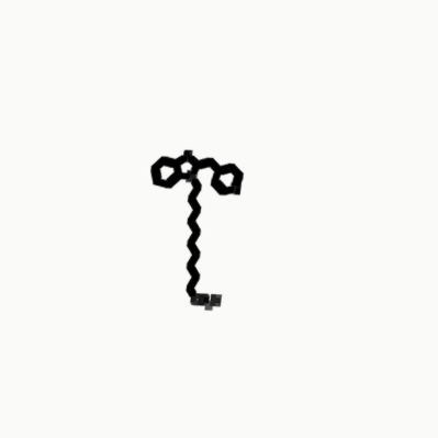 O=C(O)CCCCCCCCCCN1C(=Cc2ccncc2)Sc2ccccc21